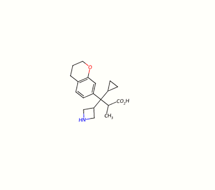 CC(C(=O)O)C(c1ccc2c(c1)OCCC2)(C1CC1)C1CNC1